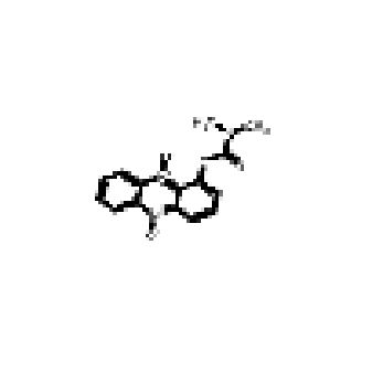 CN(C)C(=S)Oc1cccc2c1[n+]([O-])c1ccccc1[n+]2[O-]